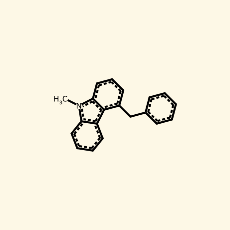 Cn1c2ccccc2c2c(Cc3ccccc3)cccc21